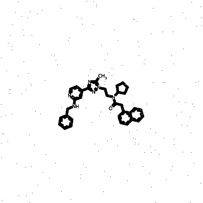 Cc1nc(-c2ccnc(NCc3ccccc3)c2)nn1CCN(C(=O)Cc1cccc2ccccc12)C1CCCC1